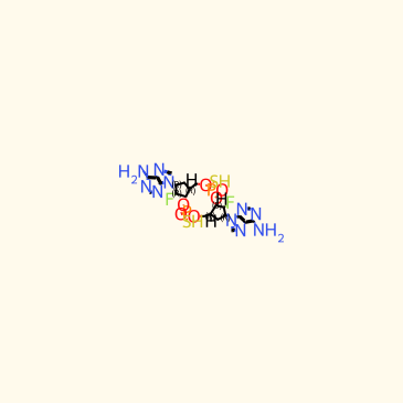 Nc1ncnc2c1ncn2[C@@H]1C[C@@H]2COP(=O)(S)OC3[C@@H](COP(=O)(S)O[C@@H]2C1F)C[C@@H](n1cnc2c(N)ncnc21)[C@H]3F